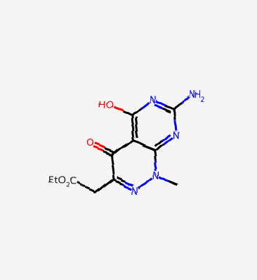 CCOC(=O)Cc1nn(C)c2nc(N)nc(O)c2c1=O